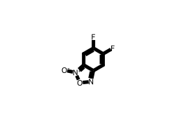 [O-][n+]1onc2cc(F)c(F)cc21